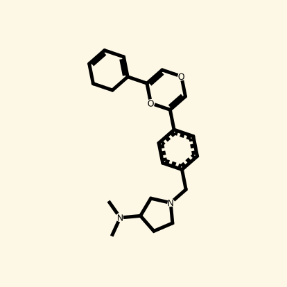 CN(C)C1CCN(Cc2ccc(C3=COC=C(C4=CC=CCC4)O3)cc2)C1